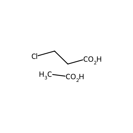 CC(=O)O.O=C(O)CCCl